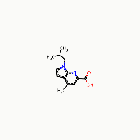 Cc1cc(C(=O)O)nc2c1ccn2CC(C)C